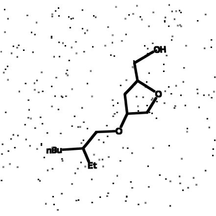 CCCCC(CC)COC1COC(CO)C1